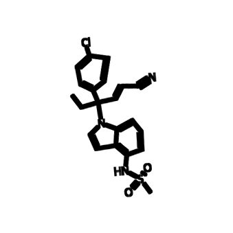 CCC(C=CC#N)(c1ccc(Cl)cc1)n1ccc2c(NS(C)(=O)=O)cccc21